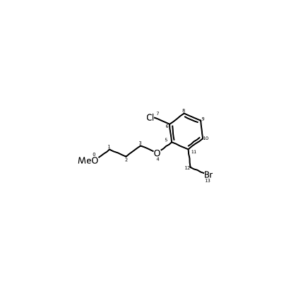 COCCCOc1c(Cl)cccc1CBr